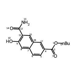 CCCCOC(=O)c1ccc2cc(O)c(C(N)=O)cc2c1